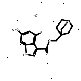 COc1cc(F)c2c(C(=O)OCC34CCN(CC3)CC4)c[nH]c2c1.Cl